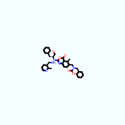 Cc1ncccc1CNN(c1nc2ccc(CN(Cc3ccccc3)C(=O)O)c(C)c2c(=O)o1)[C@H](C=O)Cc1ccccc1